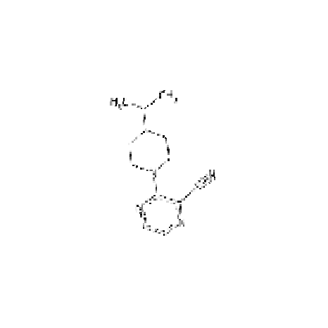 CC(C)C1CCN(c2nccnc2C#N)CC1